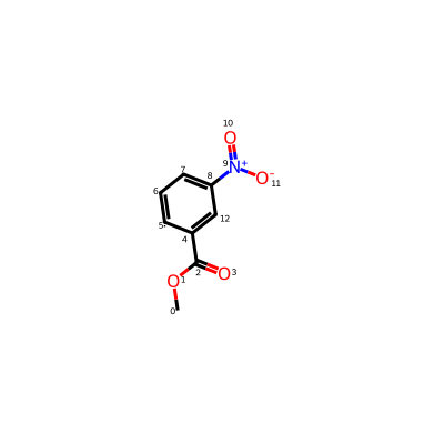 COC(=O)c1[c]ccc([N+](=O)[O-])c1